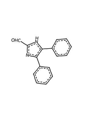 O=Cc1nc(-c2ccccc2)c(-c2ccccc2)[nH]1